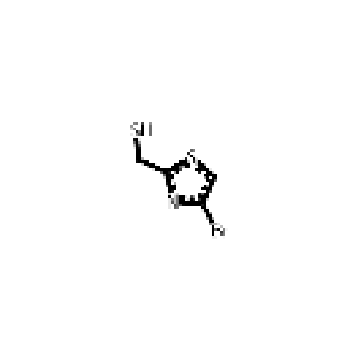 SCc1nc(Br)cs1